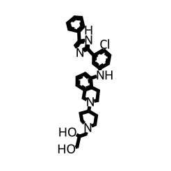 OCC(O)CN1CCC(N2CCc3c(cccc3Nc3ccc(Cl)c(-c4ncc(-c5ccccc5)[nH]4)c3)C2)CC1